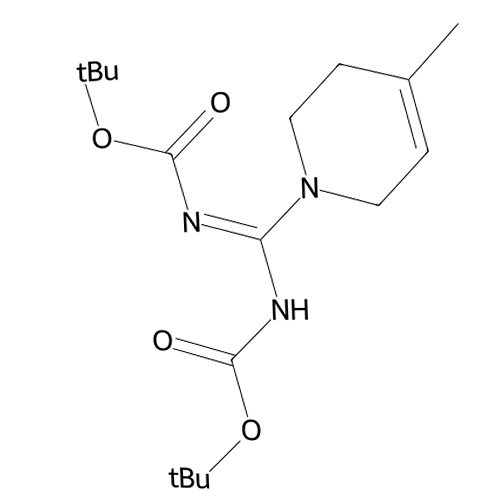 CC1=CCN(/C(=N\C(=O)OC(C)(C)C)NC(=O)OC(C)(C)C)CC1